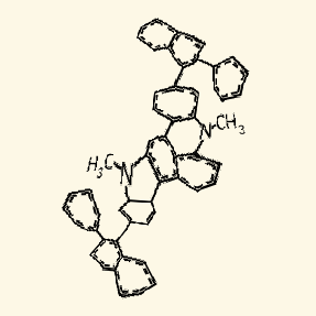 CN1c2cc(-c3c(-c4ccccc4)ccc4ccccc34)ccc2-c2cc3c(c4cccc1c24)C1C=CC(c2c(-c4ccccc4)ccc4ccccc24)=CC1N3C